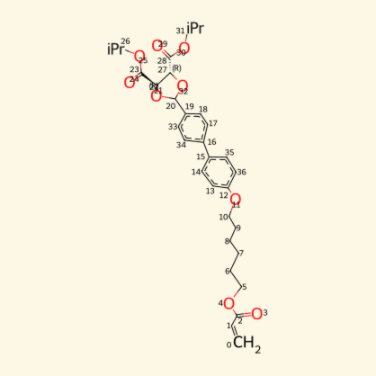 C=CC(=O)OCCCCCCOc1ccc(-c2ccc(C3O[C@@H](C(=O)OC(C)C)[C@H](C(=O)OC(C)C)O3)cc2)cc1